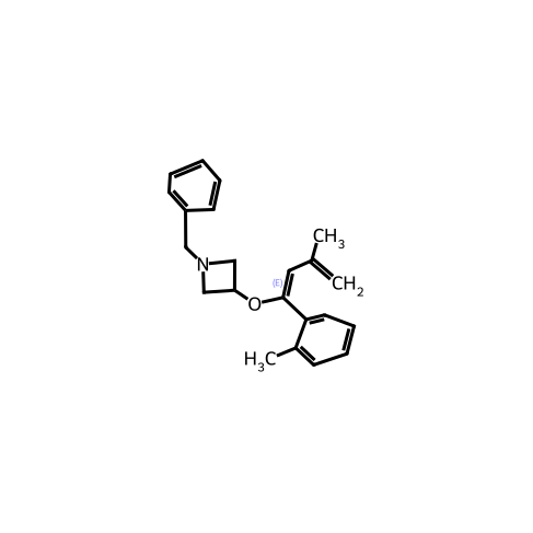 C=C(C)/C=C(/OC1CN(Cc2ccccc2)C1)c1ccccc1C